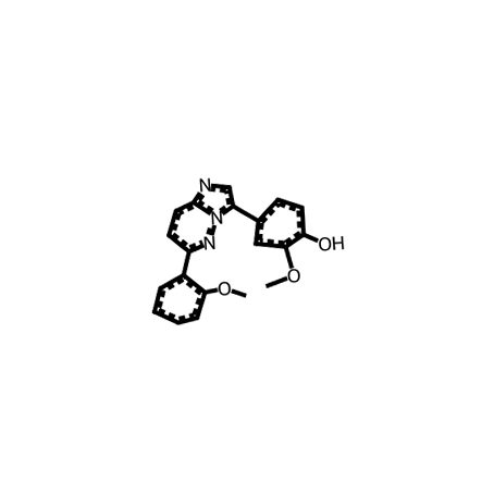 COc1cc(-c2cnc3ccc(-c4ccccc4OC)nn23)ccc1O